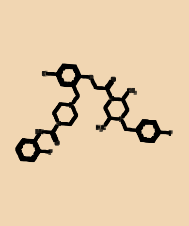 CC1CN(C(=O)COc2ccc(Cl)cc2CN2CCN(C(=O)Nc3ccccc3F)CC2)C(C)CN1Cc1ccc(F)cc1